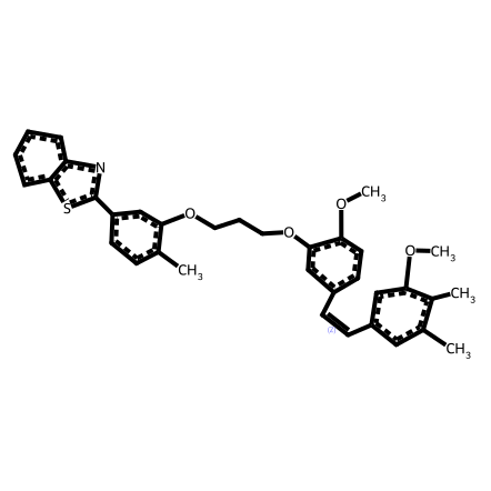 COc1ccc(/C=C\c2cc(C)c(C)c(OC)c2)cc1OCCCOc1cc(-c2nc3ccccc3s2)ccc1C